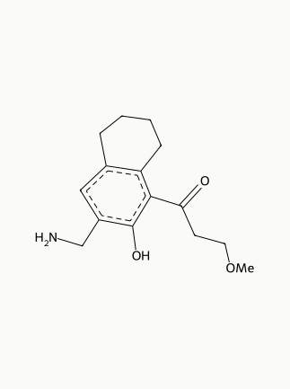 COCCC(=O)c1c(O)c(CN)cc2c1CCCC2